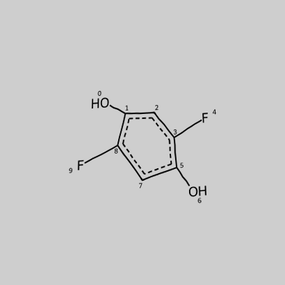 Oc1cc(F)c(O)cc1F